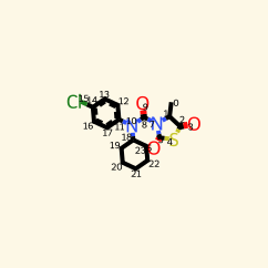 CC1C(=O)SC(=O)N1C(=O)N(c1ccc(Cl)cc1)C1CCCCC1